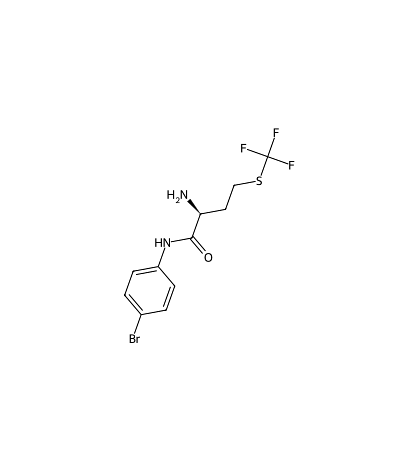 N[C@@H](CCSC(F)(F)F)C(=O)Nc1ccc(Br)cc1